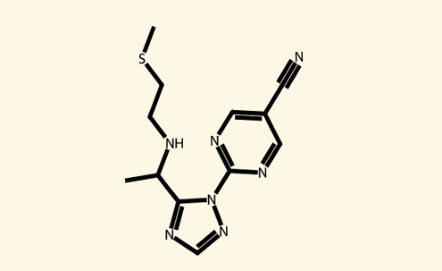 CSCCNC(C)c1ncnn1-c1ncc(C#N)cn1